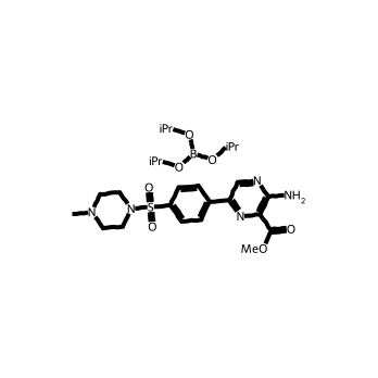 CC(C)OB(OC(C)C)OC(C)C.COC(=O)c1nc(-c2ccc(S(=O)(=O)N3CCN(C)CC3)cc2)cnc1N